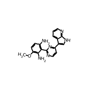 COc1ccc(N)c(-c2nccc(-c3c[nH]c4ncccc34)n2)c1N